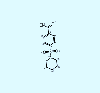 O=C(Cl)c1ccc(S(=O)(=O)N2CCCCC2)cc1